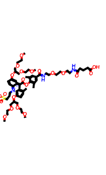 COCCOCC(COCCOC)OC1=CC(=C(\C(=O)Oc2c(C)cc(C(=O)NCCOCCOCCNC(=O)CCCC(=O)O)cc2C)c2cc(OC(COCCOC)COCCOC)ccc2C)/C(=N/CCCS(=O)(=O)O)C=C1